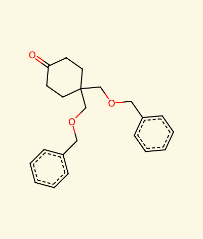 O=C1CCC(COCc2ccccc2)(COCc2ccccc2)CC1